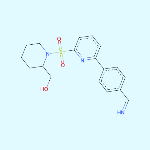 N=Cc1ccc(-c2cccc(S(=O)(=O)N3CCCCC3CO)n2)cc1